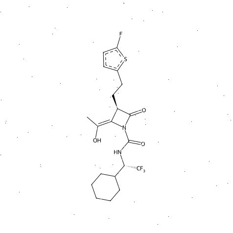 C/C(O)=C1\[C@@H](CCc2ccc(F)s2)C(=O)N1C(=O)N[C@@H](C1CCCCC1)C(F)(F)F